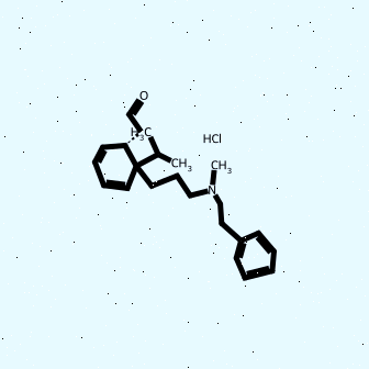 CC(C)C1(CCCN(C)CCc2ccccc2)C=CC=C[C@@H]1CC=O.Cl